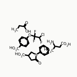 CCC(=O)O.NC(CC(=O)O)C(=O)O.O=C(O)C1CC(=O)N(c2ccccc2)C1.O=C(O)c1ccc(OC(F)(F)C(F)Cl)cc1